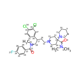 CN(C)C(=O)C1(N2CCCCC2)CCN(CCC(CN(C)C(=O)c2ccc(F)cc2)c2ccc(Cl)c(Cl)c2)CC1